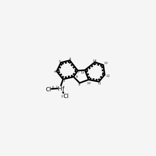 [Cl][Hf]([Cl])[c]1cccc2c1Cc1ccccc1-2